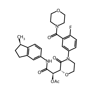 CC(=O)O[C@@H](C(=O)Nc1ccc2c(c1)CC[C@H]2C)[C@H]1OCCN(c2ccc(F)c(C(=O)N3CCOCC3)c2)C1=O